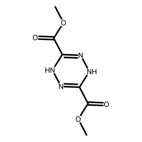 COC(=O)C1=NNC(C(=O)OC)=NN1